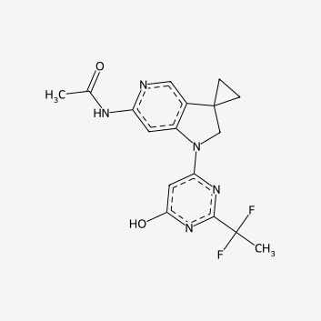 CC(=O)Nc1cc2c(cn1)C1(CC1)CN2c1cc(O)nc(C(C)(F)F)n1